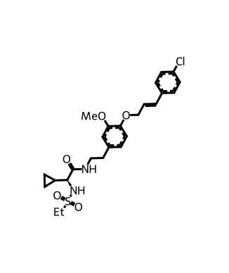 CCS(=O)(=O)N[C@H](C(=O)NCCc1ccc(OC/C=C/c2ccc(Cl)cc2)c(OC)c1)C1CC1